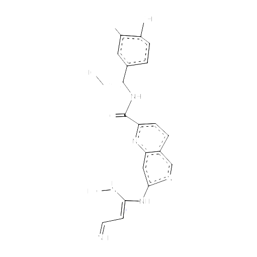 CN/C(=C\C=N)Nc1cc2nc(C(=O)N[C@H](CO)c3ccc(C)c(F)c3)ccc2cn1